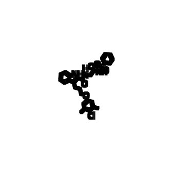 Cc1cc(OCCCc2c(C(=O)NCC(=O)NS(=O)(=O)c3ccccc3)[nH]c3ccccc23)cc(C)c1Cl